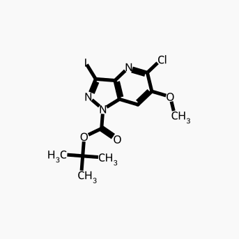 COc1cc2c(nc1Cl)c(I)nn2C(=O)OC(C)(C)C